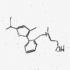 Cc1cc(C(C)C)sc1-c1ccccc1CN(C)CCO